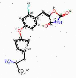 NC(Cc1ccc(Oc2ccc(/C=C3/OC(=O)NC3=O)c(F)c2)cc1)C(=O)O